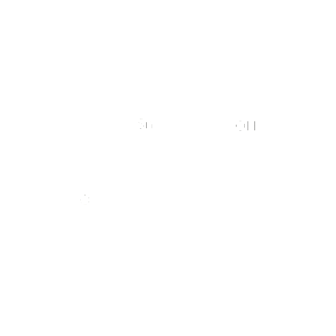 O=Cc1ccc(O)cc1.[Sn]